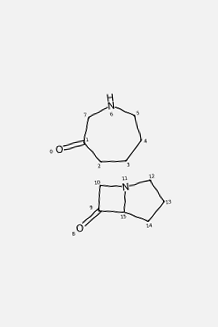 O=C1CCCCNC1.O=C1CN2CCCC12